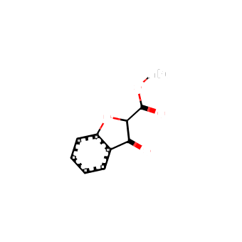 CCCCOC(=O)C1Oc2ccccc2C1=O